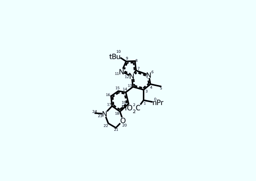 CCCC(C(=O)O)c1c(C)nc2cc(C(C)(C)C)nn2c1-c1ccc2c(c1)OCCN2C